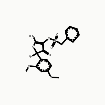 [2H]C1(c2ccc(OC)cc2OC)OC(N)=C(OS(=O)(=O)Cc2ccccc2)C1=O